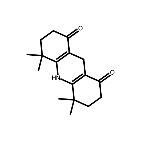 CC1(C)CCC(=O)C2=C1NC1=C(C2)C(=O)CCC1(C)C